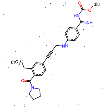 CCOC(=O)Cc1cc(C#CCNc2ccc(C(=N)NC(=O)OC(C)(C)C)cc2)ccc1C(=O)N1CCCC1